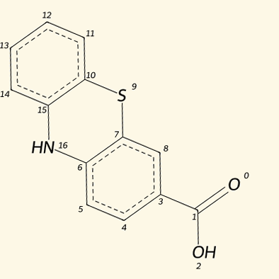 O=C(O)c1ccc2c(c1)Sc1ccccc1N2